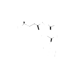 CC(=O)O.CC(=O)O.O.O=C(O)CCC(=O)O.[CaH2].[CaH2]